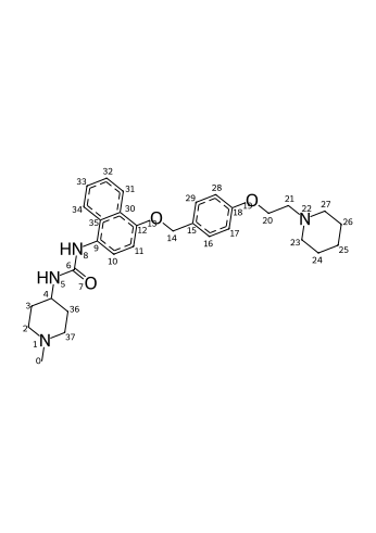 CN1CCC(NC(=O)Nc2ccc(OCc3ccc(OCCN4CCCCC4)cc3)c3ccccc23)CC1